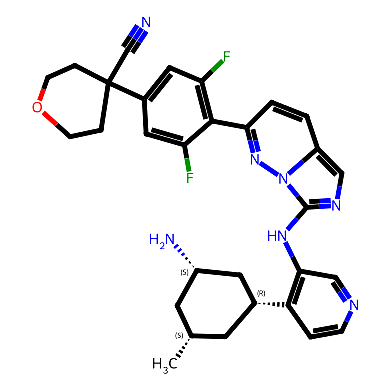 C[C@@H]1C[C@H](N)C[C@H](c2ccncc2Nc2ncc3ccc(-c4c(F)cc(C5(C#N)CCOCC5)cc4F)nn23)C1